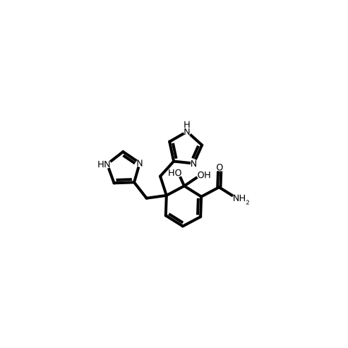 NC(=O)C1=CC=CC(Cc2c[nH]cn2)(Cc2c[nH]cn2)C1(O)O